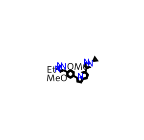 CCn1cc(-c2c(OC)cc(-c3ccc4ccc(-c5cnn(C6CC6)c5)cn34)cc2OC)nn1